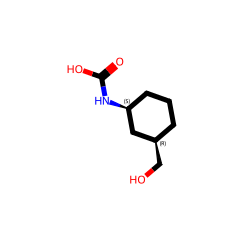 O=C(O)N[C@H]1CCC[C@@H](CO)C1